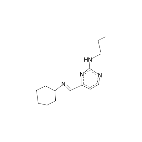 CCCNc1nccc(/C=N/C2CCCCC2)n1